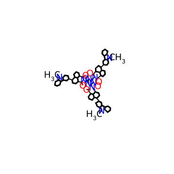 Cn1c2ccccc2c2cc(-c3ccc4c5c(cccc35)C(=O)N(c3nc(N5C(=O)c6cccc7c(-c8ccc9c(c8)c8ccccc8n9C)ccc(c67)C5=O)nc(N5C(=O)c6cccc7c(-c8ccc9c(c8)c8ccccc8n9C)ccc(c67)C5=O)n3)C4=O)ccc21